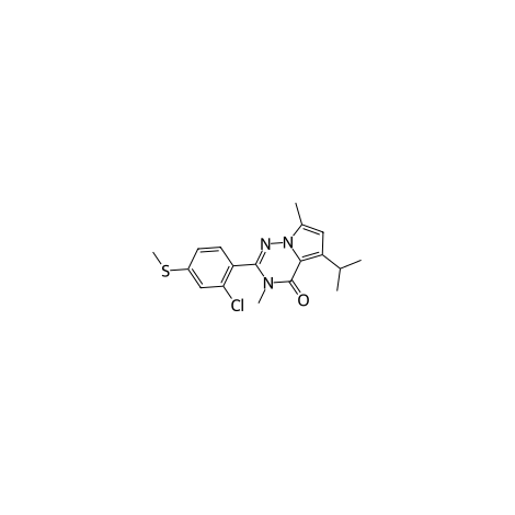 CSc1ccc(-c2nn3c(C)cc(C(C)C)c3c(=O)n2C)c(Cl)c1